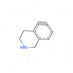 c1ccc2c(c#1)CCNC2